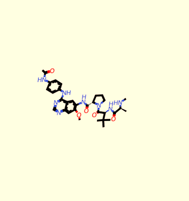 CN[C@@H](C)C(=O)N[C@H](C(=O)N1CCC[C@H]1C(=O)Nc1cc2c(Nc3ccc(NC(C)=O)cc3)ncnc2cc1OC)C(C)(C)C